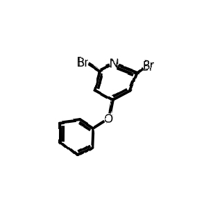 Brc1cc(Oc2ccccc2)cc(Br)n1